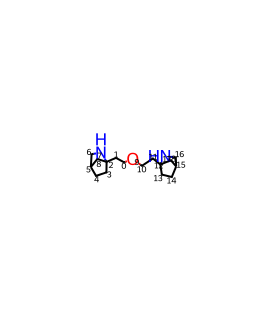 C(CC12CCC(CN1)C2)OCCC12CCC(CN1)C2